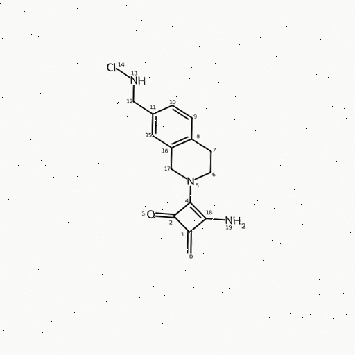 C=C1C(=O)C(N2CCc3ccc(CNCl)cc3C2)=C1N